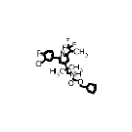 C=C(c1cc(C(C)(C)CNC(=O)OCc2ccccc2)cc(-c2ccc(F)c(Cl)c2)n1)C(F)(F)F